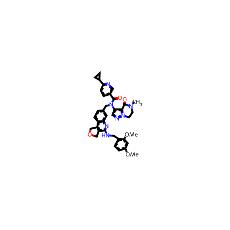 COc1ccc(CNc2nc3cc(CN(C(=O)c4ccc(C5CC5)nc4)c4cnn5c4C(=O)N(C)CC5)ccc3c3c2COC3)c(OC)c1